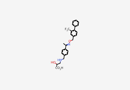 C/C(=N\OCc1ccc(-c2ccccc2)c(C(F)(F)F)c1)c1ccc(CNCC(O)C(=O)O)cc1